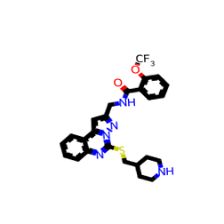 O=C(NCc1cc2c3ccccc3nc(SCC3CCNCC3)n2n1)c1ccccc1OC(F)(F)F